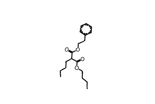 CCCCOC(=O)C(CCCC)C(=O)OCCc1ccccc1